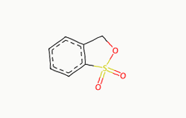 O=S1(=O)OCc2ccccc21